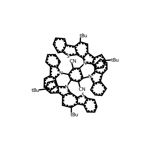 CC(C)(C)c1ccc2c(c1)c1cc(C(C)(C)C)c3c4ccccc4sc3c1n2-c1c(C#N)c(-n2c3ccccc3c3ccccc32)c(-n2c3ccc(C(C)(C)C)cc3c3cc(C(C)(C)C)c4c5ccccc5sc4c32)c(C#N)c1-n1c2ccccc2c2ccccc21